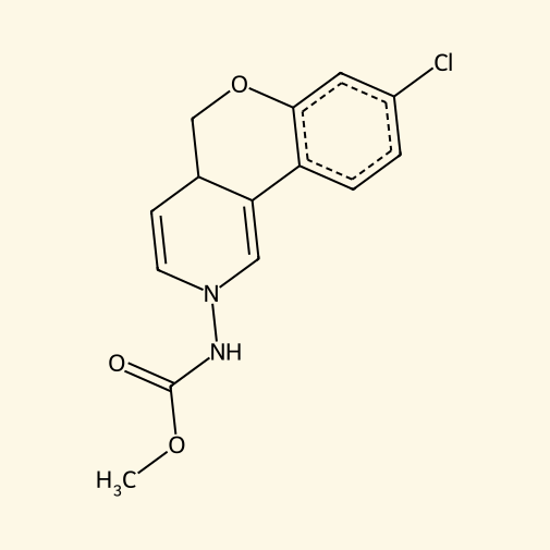 COC(=O)NN1C=CC2COc3cc(Cl)ccc3C2=C1